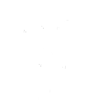 CCC(Nc1cc(Oc2ncc(C(F)(F)F)cc2Cl)ccc1[N+](=O)[O-])P(=O)(O)CC